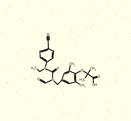 CCN(C(=O)N(C=O)Cc1cc(C)c(OC(C)(C)C(=O)O)c(C)c1)c1ccc(C#N)cc1